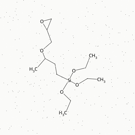 CCO[Si](CCC(C)OCC1CO1)(OCC)OCC